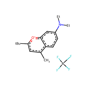 CCN(CC)c1ccc2c(C)cc(C(C)(C)C)[o+]c2c1.F[B-](F)(F)F